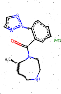 C[C@@H]1CCNCCN1C(=O)c1ccccc1-n1nccn1.Cl